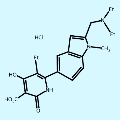 CCc1c(-c2ccc3c(c2)cc(CN(CC)CC)n3C)[nH]c(=O)c(C(=O)O)c1O.Cl